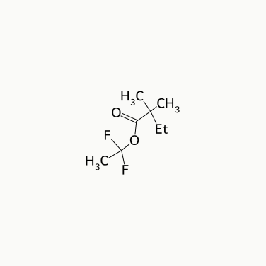 CCC(C)(C)C(=O)OC(C)(F)F